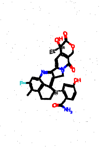 CC[C@@]1(O)C(=O)OCc2c1cc1n(c2=O)Cc2c-1nc1cc(F)c(C)c3c1c2[C@H](c1cc(O)ccc1C(N)=O)CC3